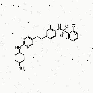 NC1CCC(Nc2ncc(CCc3ccc(NS(=O)(=O)c4ccccc4Cl)c(F)c3)cn2)CC1